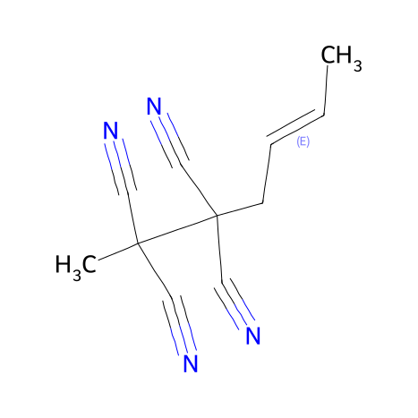 C/C=C/CC(C#N)(C#N)C(C)(C#N)C#N